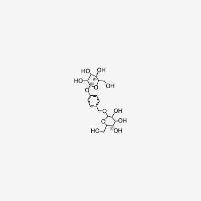 OCC1OC(OCc2ccc(O[C@@H]3OC(CO)[C@H](O)C(O)C3O)cc2)C(O)C(O)[C@@H]1O